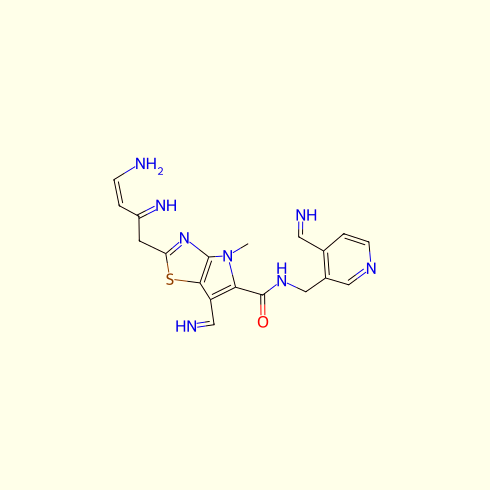 Cn1c(C(=O)NCc2cnccc2C=N)c(C=N)c2sc(CC(=N)/C=C\N)nc21